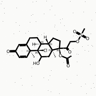 CC(=O)O[C@]1(C(=O)COS(C)(=O)=O)CC[C@H]2[C@@H]3CCC4=CC(=O)C=C[C@]4(C)[C@@]3(Cl)C(O)C[C@@]21C